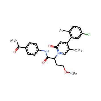 CNC(=O)c1ccc(NC(=O)C(CCOC(C)(C)C)n2cc(OC)c(-c3cc(Cl)ccc3C(C)=O)cc2=O)cc1